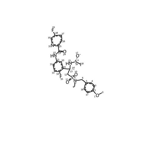 COc1ccc(CN(C)S(=O)(=O)C[C@](C)(N[S@+]([O-])I)c2cc(NC(=O)c3ccc(F)cn3)ccc2F)cc1